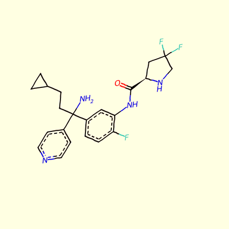 NC(CCC1CC1)(c1ccncc1)c1ccc(F)c(NC(=O)[C@H]2CC(F)(F)CN2)c1